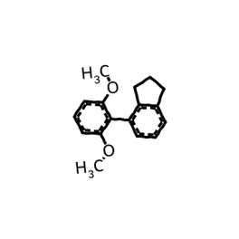 COc1cccc(OC)c1-c1cccc2c1CCC2